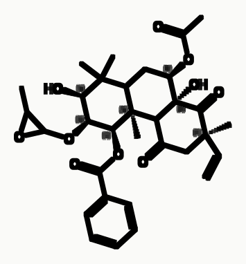 C=C[C@@]1(C)CC(=O)C2[C@]3(C)C(C[C@@H](OC(C)=O)[C@@]2(O)C1=O)C(C)(C)[C@H](O)[C@H](OC1OC1C)[C@@H]3OC(=O)c1ccccc1